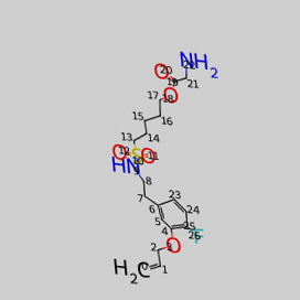 C=CCOc1cc(CCNS(=O)(=O)CCCCCOC(=O)CN)ccc1F